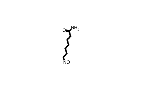 NC(=O)CCCCCCN=O